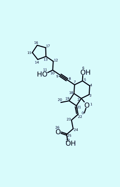 COC12CCC(O)C(C#CC(O)CC3CCCC3)C1C(C)C2=CCCC(=O)O